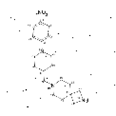 O=[N+]([O-])c1ccc(N2CCC(CN3CCC4(CC3)CNC4)CC2)cc1